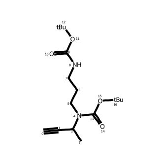 C#CC(C)N(CCCNC(=O)OC(C)(C)C)C(=O)OC(C)(C)C